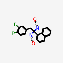 O=C=NC(Cc1ccc(F)c(F)c1)(N=C=O)c1cccc2ccccc12